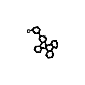 Clc1cccc(-c2cc3c4ccccc4c4c5ccccc5c5ccccc5c4c3cn2)c1